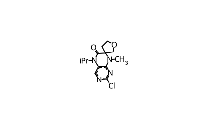 CC(C)N1C(=O)C2(CCOC2)N(C)c2nc(Cl)ncc21